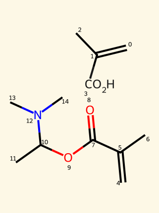 C=C(C)C(=O)O.C=C(C)C(=O)OC(C)N(C)C